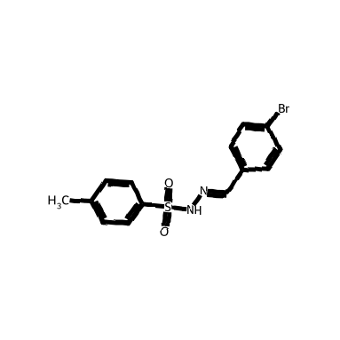 Cc1ccc(S(=O)(=O)NN=Cc2ccc(Br)cc2)cc1